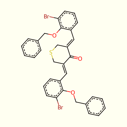 O=C1/C(=C/c2cccc(Br)c2OCc2ccccc2)CSC/C1=C\c1cccc(Br)c1OCc1ccccc1